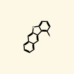 Ic1cccc2oc3cc4ccccc4cc3c12